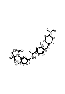 C[C@H](Nc1ncc(F)c(N2C(=O)OCC2(C)O)n1)c1ccc(CN2CCC(N(C)C)CC2)c(F)c1